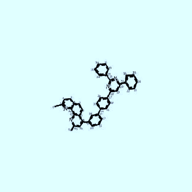 Cc1ccc2ccc3c(-c4cccc(-c5ccc(-c6cc(-c7ccccc7)nc(-c7ccccc7)n6)cc5)c4)cc(C)nc3c2n1